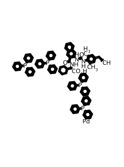 C#CCc1cc(C)c(NC(=O)Nc2cc3ccccc3cc2C(=O)NC(C(=O)O)C2CCCCC2)c(C)c1.[Pd].c1ccc(P(c2ccccc2)c2ccccc2)cc1.c1ccc(P(c2ccccc2)c2ccccc2)cc1.c1ccc(P(c2ccccc2)c2ccccc2)cc1.c1ccc(P(c2ccccc2)c2ccccc2)cc1